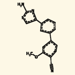 COc1cc(-c2cccc(-c3csc(N)n3)c2)ccc1C#N